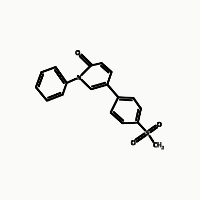 CS(=O)(=O)c1ccc(-c2ccc(=O)n(-c3ccccc3)c2)cc1